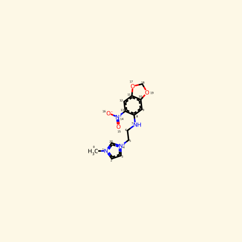 Cn1cc[n+](CCNc2cc3c(cc2[N+](=O)[O-])OCO3)c1